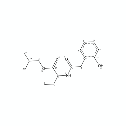 CCC(NC(=O)Cc1ccccc1O)C(=O)OCC(C)C